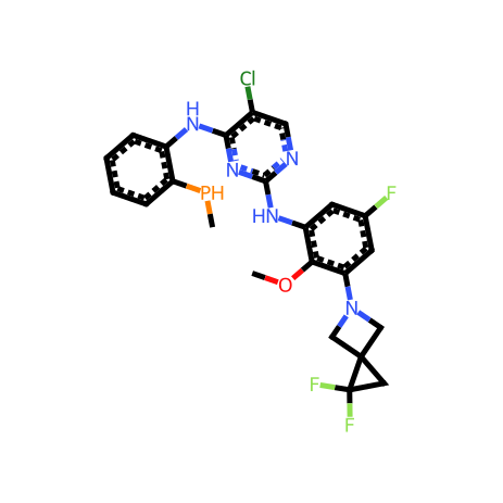 COc1c(Nc2ncc(Cl)c(Nc3ccccc3PC)n2)cc(F)cc1N1CC2(C1)CC2(F)F